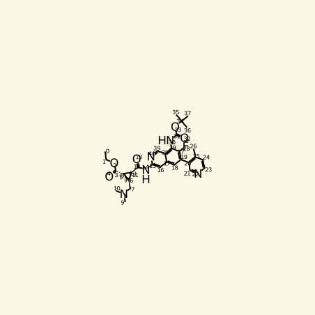 CCOC(=O)[C@H]1[C@H](CN(C)C)[C@@H]1C(=O)Nc1cc2cc(-c3cnccc3C)c(F)c(NC(=O)OC(C)(C)C)c2cn1